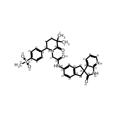 CC1(C)CCC(c2ccc(S(C)(=O)=O)cc2)N(CC(=O)Nc2ccc3c(c2)CC2(C3)C(=O)Nc3ncccc32)C1=O